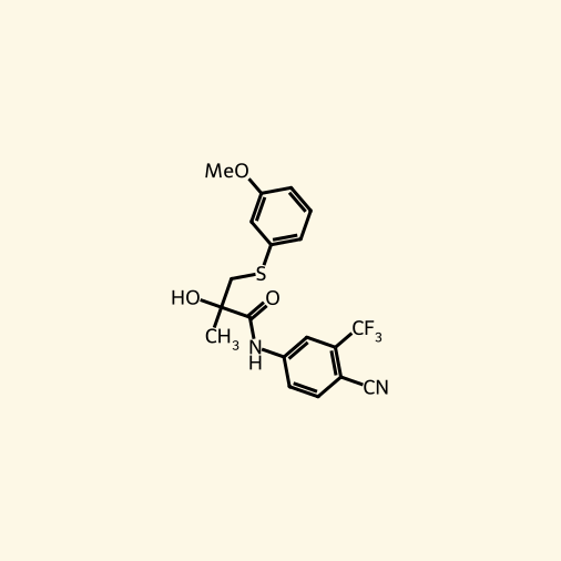 COc1cccc(SCC(C)(O)C(=O)Nc2ccc(C#N)c(C(F)(F)F)c2)c1